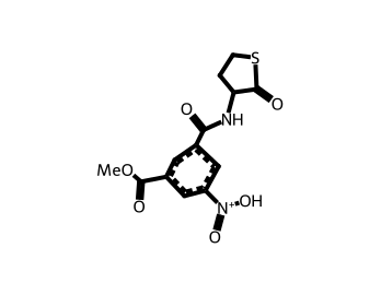 COC(=O)c1cc(C(=O)NC2CCSC2=O)cc([N+](=O)O)c1